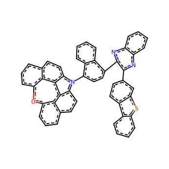 c1ccc2nc(-c3ccc(-n4c5ccc6cccc7oc8cccc9ccc4c(c98)c5c67)c4ccccc34)c(-c3ccc4c(c3)sc3ccccc34)nc2c1